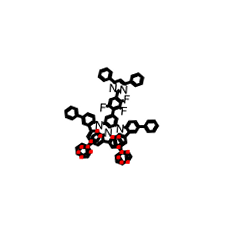 Fc1cc(-c2nc(-c3ccccc3)cc(-c3ccccc3)n2)c(F)c(F)c1-c1cc(-n2c3ccc(-c4ccccc4)cc3c3cc(-c4ccccc4)ccc32)c(-n2c3ccc(-c4ccccc4)cc3c3cc(-c4ccccc4)ccc32)c(-n2c3ccc(-c4ccccc4)cc3c3cc(-c4ccccc4)ccc32)c1